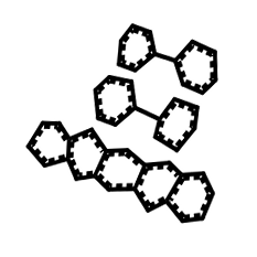 c1ccc(-c2ccccc2)cc1.c1ccc(-c2ccccc2)cc1.c1ccc2cc3cc4cc5ccccc5cc4cc3cc2c1